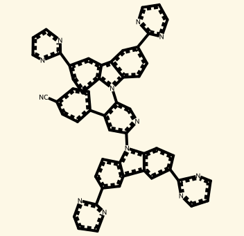 N#Cc1ccc(-c2cc(-n3c4ccc(-c5ncccn5)cc4c4cc(-c5ncccn5)ccc43)ncc2-n2c3ccc(-c4ncccn4)cc3c3cc(-c4ncccn4)ccc32)cc1